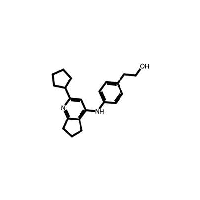 OCCc1ccc(Nc2cc(C3CCCC3)nc3c2CCC3)cc1